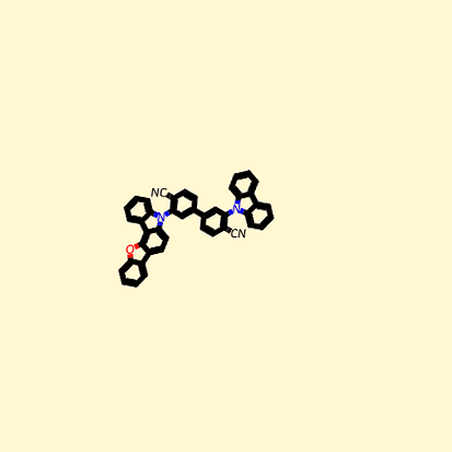 N#Cc1ccc(-c2ccc(C#N)c(-n3c4ccccc4c4c5oc6ccccc6c5ccc43)c2)cc1-n1c2ccccc2c2ccccc21